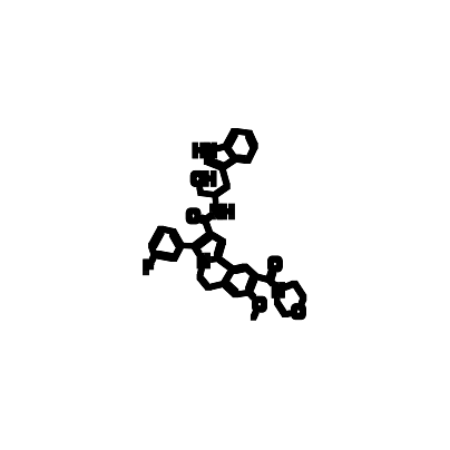 COc1cc2c(cc1C(=O)N1CCOCC1)-c1cc(C(=O)NC(CO)Cc3c[nH]c4ccccc34)c(-c3cccc(F)c3)n1CC2